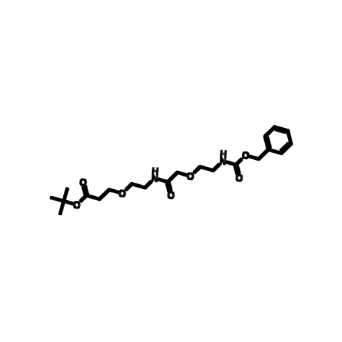 CC(C)(C)OC(=O)CCOCCNC(=O)COCCNC(=O)OCc1ccccc1